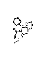 C#CC(=O)N1[C@@H](CCCC)Cc2cccnc2[C@@H]1c1ccccn1